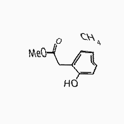 C.COC(=O)Cc1ccccc1O